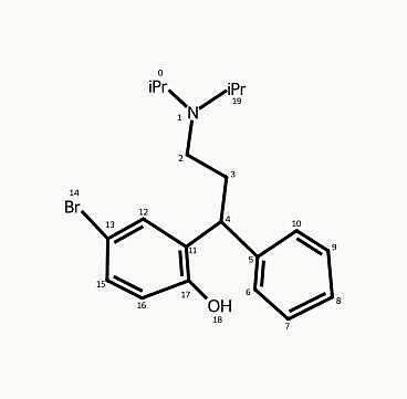 CC(C)N(CCC(c1ccccc1)c1cc(Br)ccc1O)C(C)C